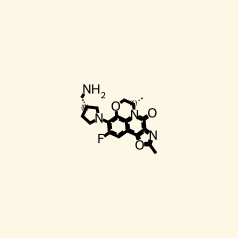 Cc1nc2c(=O)n3c4c(c(N5CC[C@H](CN)C5)c(F)cc4c2o1)OC[C@@H]3C